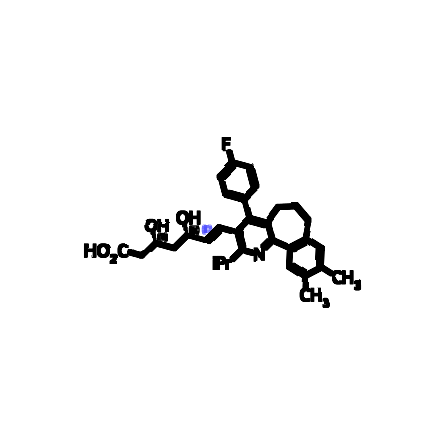 Cc1cc2c(cc1C)-c1nc(C(C)C)c(/C=C/[C@@H](O)C[C@@H](O)CC(=O)O)c(-c3ccc(F)cc3)c1CCC2